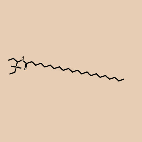 CCCCCCCCCCCCCCCCCCCCCC(=O)NC(CC)[N+](C)(C)CC